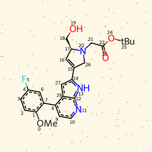 COc1ccc(F)cc1-c1ccnc2[nH]c(C3=C[C@@H](CO)N(CC(=O)OC(C)(C)C)C3)cc12